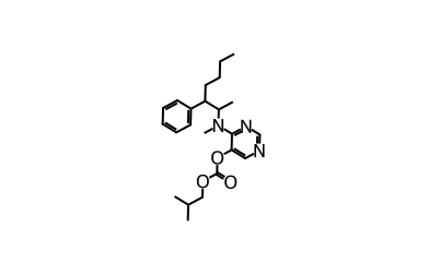 CCCCC(c1ccccc1)C(C)N(C)c1ncncc1OC(=O)OCC(C)C